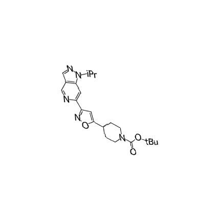 CC(C)n1ncc2cnc(-c3cc(C4CCN(C(=O)OC(C)(C)C)CC4)on3)cc21